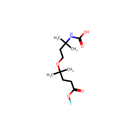 CC(C)(CCOC(C)(C)CCC(=O)OF)NC(=O)O